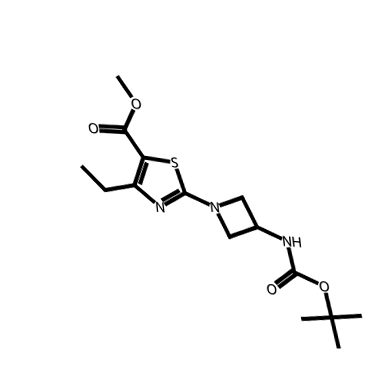 CCc1nc(N2CC(NC(=O)OC(C)(C)C)C2)sc1C(=O)OC